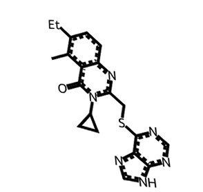 CCc1ccc2nc(CSc3ncnc4[nH]cnc34)n(C3CC3)c(=O)c2c1C